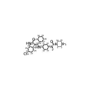 CN1CCN(C(=O)N(C)c2ccc(NC(=C3C(=O)Nc4cc(Cl)ccc43)c3ccccc3)cc2)CC1